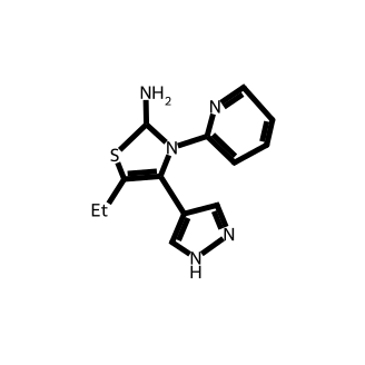 CCC1=C(c2cn[nH]c2)N(c2ccccn2)C(N)S1